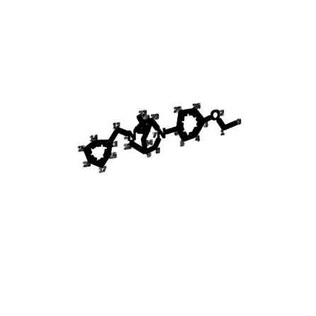 CCOc1ccc(N2CC3CN(Cc4ccccc4)CC2C(C)(C)C3)cc1